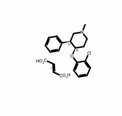 CN1CC[C@@H](Oc2ccccc2Cl)[C@@H](c2ccccc2)C1.O=C(O)/C=C/C(=O)O